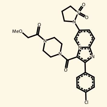 COCC(=O)N1CCN(C(=O)c2c(-c3ccc(Cl)cc3)nc3ccc(N4CCCS4(=O)=O)cn23)CC1